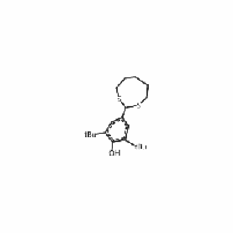 CC(C)(C)c1cc(C2SCCCCCS2)cc(C(C)(C)C)c1O